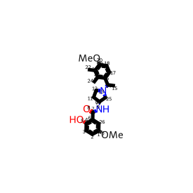 COc1ccc(O)c(C(=O)N[C@@H]2CCN(C(C)c3ccc(OC)c(C)c3C)C2)c1